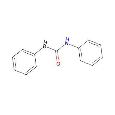 O=C(Bc1ccccc1)Nc1ccccc1